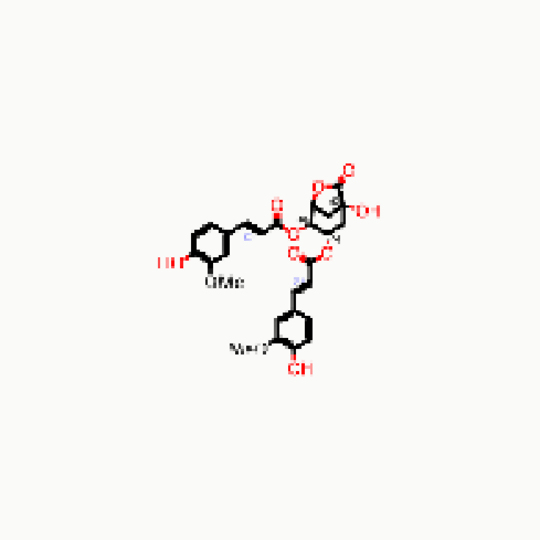 COc1cc(/C=C/C(=O)O[C@H]2C[C@]3(O)CC(OC3=O)[C@@H]2OC(=O)/C=C/c2ccc(O)c(OC)c2)ccc1O